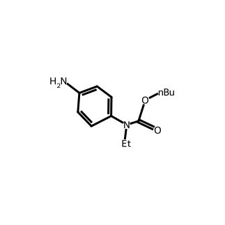 CCCCOC(=O)N(CC)c1ccc(N)cc1